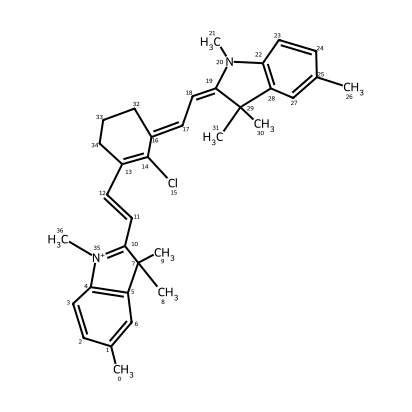 Cc1ccc2c(c1)C(C)(C)C(/C=C/C1=C(Cl)C(=C/C=C3/N(C)c4ccc(C)cc4C3(C)C)/CCC1)=[N+]2C